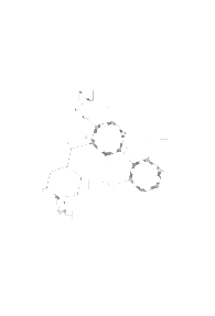 Cc1cccc(C)c1-c1ccc(NN)c(CC2CCN(C)CC2)c1